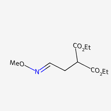 CCOC(=O)C(CC=NOC)C(=O)OCC